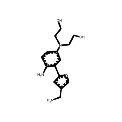 NCc1csc(-c2cc(N(CCO)CCO)ccc2N)c1